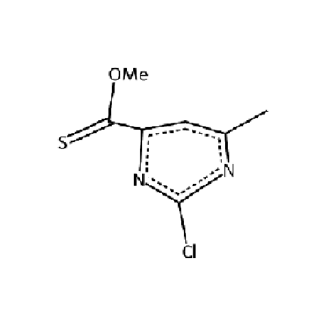 COC(=S)c1cc(C)nc(Cl)n1